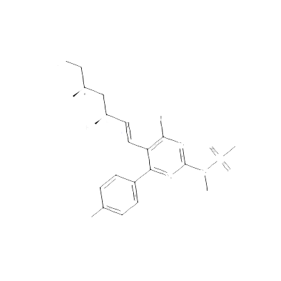 CC(C)c1nc(N(C)S(C)(=O)=O)nc(-c2ccc(O)cc2)c1/C=C/[C@@H](O)C[C@@H](O)CC(=O)O